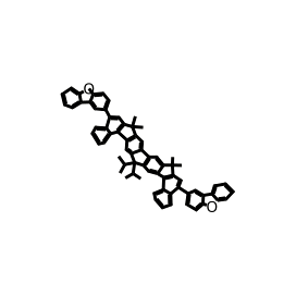 CC(C)C1(C(C)C)c2cc3c(cc2-c2cc4c(cc21)-c1c(cc(-c2ccc5oc6ccccc6c5c2)c2ccccc12)C4(C)C)C(C)(C)c1cc(-c2ccc4oc5ccccc5c4c2)c2ccccc2c1-3